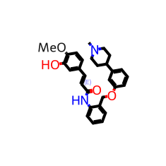 COc1ccc(/C=C/C(=O)Nc2ccccc2COc2cccc(C3CCN(C)CC3)c2)cc1O